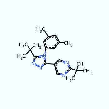 Cc1cc(C)cc(-n2c(-c3cnc(C(C)(C)C)nc3)nnc2C(C)(C)C)c1